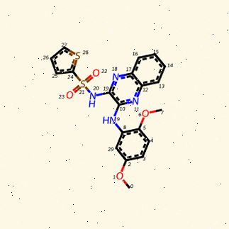 COc1ccc(OC)c(Nc2nc3ccccc3nc2NS(=O)(=O)c2cccs2)c1